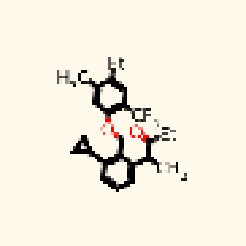 CCC(=O)C(C)c1cccc(C2CC2)c1COc1cc(C)c(CC)cc1C(F)(F)F